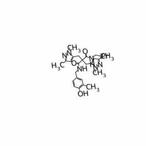 Cc1cc(CC(Cc2cc(C)nn2C)(C(=O)NCc2ccc(O)c(C)c2)C(=O)NCC(C)C)n(C)n1